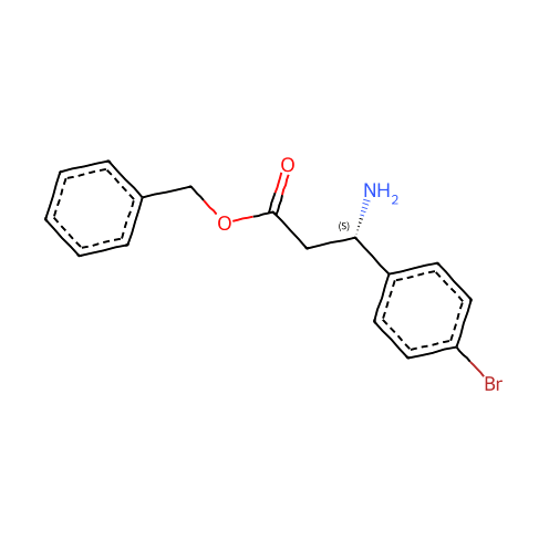 N[C@@H](CC(=O)OCc1ccccc1)c1ccc(Br)cc1